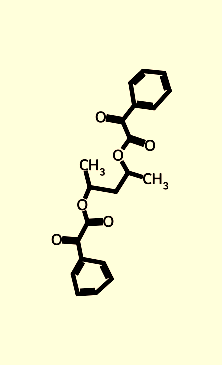 CC(CC(C)OC(=O)C(=O)c1ccccc1)OC(=O)C(=O)c1ccccc1